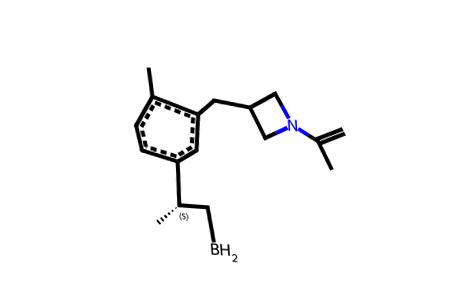 BC[C@H](C)c1ccc(C)c(CC2CN(C(=C)C)C2)c1